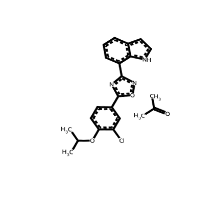 CC(C)=O.CC(C)Oc1ccc(-c2nc(-c3cccc4cc[nH]c34)no2)cc1Cl